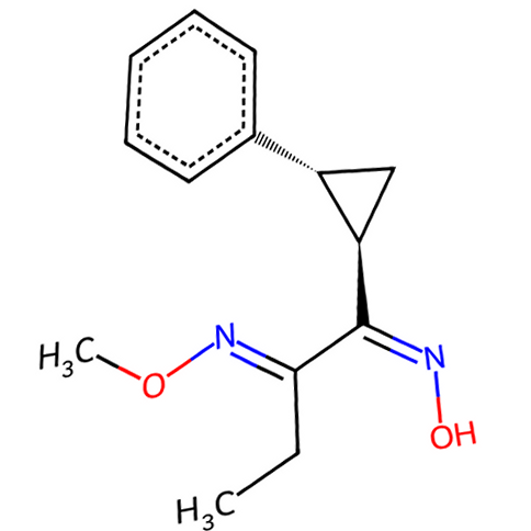 CCC(=NOC)C(=NO)[C@@H]1C[C@H]1c1ccccc1